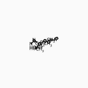 Cc1c(COc2cc(OCc3cncc(C#N)c3)c(CNC(C)(CO)CO)cc2Cl)cccc1-c1cccc(OCCCN2CCCCC2)c1C